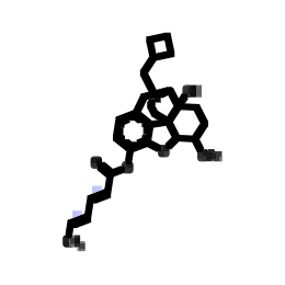 C/C=C/C=C/C(=O)Oc1ccc2c3c1OC1C(OC(C)=O)CCC4(O)C(C2)N(CC2CCC2)CCC314